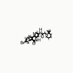 O=C(CN1CCCCC12CC2)Nc1cnc2c(c1)[nH]c(=O)c1c2nn2cc(Br)sc12